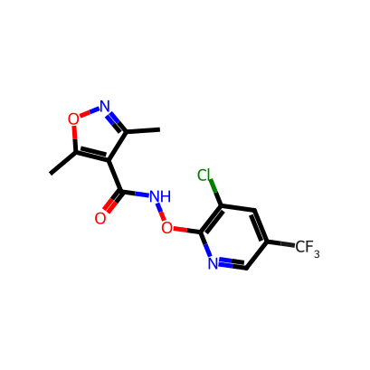 Cc1noc(C)c1C(=O)NOc1ncc(C(F)(F)F)cc1Cl